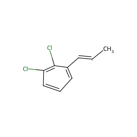 C[C]=Cc1cccc(Cl)c1Cl